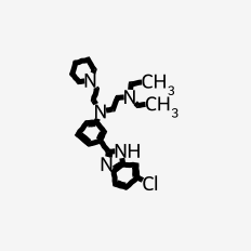 CCN(CC)CCN(CCN1CCCCC1)c1cccc(-c2nc3ccc(Cl)cc3[nH]2)c1